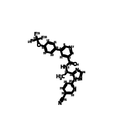 C[C@@H](NC(=O)c1cncc(-c2ccc(OC(F)(F)F)cc2)c1)c1ncnn1-c1ccc(C#N)cn1